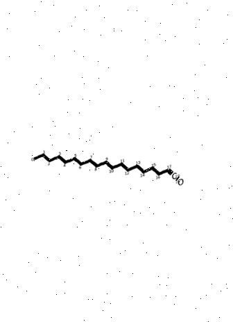 [CH2]CCCCCCCCCCCCCCCCC=C=O